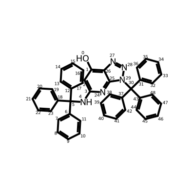 Oc1cc(NC(c2ccccc2)(c2ccccc2)c2ccccc2)nc2c1nnn2C(c1ccccc1)(c1ccccc1)c1ccccc1